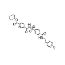 COc1ccc(CCNC(=O)c2ccc(S(=O)(=O)NC(=O)c3ccc(C(=O)OC4CCCCC4)nc3)cc2)cc1